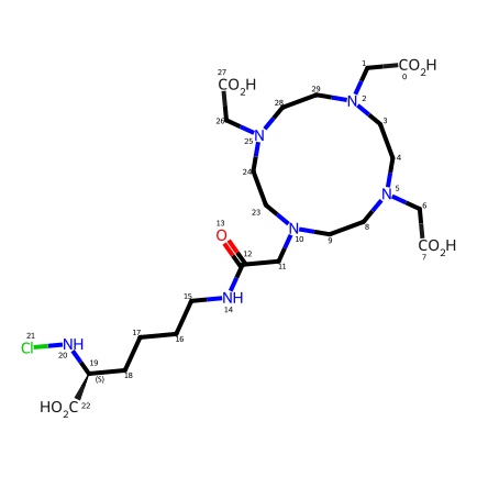 O=C(O)CN1CCN(CC(=O)O)CCN(CC(=O)NCCCC[C@H](NCl)C(=O)O)CCN(CC(=O)O)CC1